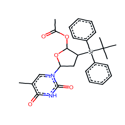 CC(=O)OC1OC(n2cc(C)c(=O)[nH]c2=O)CC1[Si](c1ccccc1)(c1ccccc1)C(C)(C)C